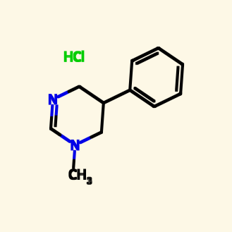 CN1C=NCC(c2ccccc2)C1.Cl